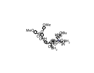 BOC(=O)C1=C(C[N+]23CCC(CNC(=O)c4ccc(OCc5ccc(OC)cc5)c(OCc5ccc(OC)cc5)c4Cl)(CC2)CC3)CS[C@@H]2[C@H](NC(=O)/C(=N\O[C@H](C(=O)OB)C(C)C)c3csc(NC(=O)OC(C)(C)C)n3)C(=O)N12